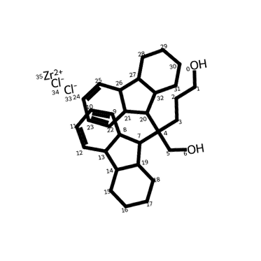 OCCCC(CO)(C1C2C=CC=CC2C2CCCCC21)C1C2C=CC=CC2C2CCCCC21.[Cl-].[Cl-].[Zr+2]